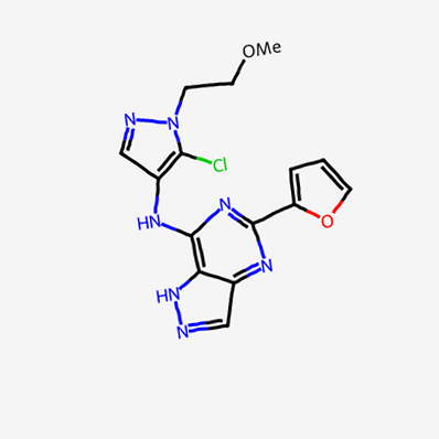 COCCn1ncc(Nc2nc(-c3ccco3)nc3cn[nH]c23)c1Cl